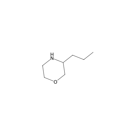 CCCC1COCCN1